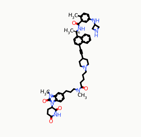 Cc1ccc(NC2CNC2)cc1C(=O)N[C@H](C)c1ccc(C#CC2CCN(CCCCC(=O)N(C)CCCc3ccc4c(c3)n(C)c(=O)n4C3CCC(=O)NC3=O)CC2)c2ccccc12